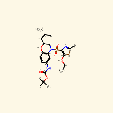 CCc1nc(S(=O)(=O)N2C[C@H](C[C@@H](C)C(=O)O)Oc3ccc(NC(=O)OC(C)(C)C(F)(F)F)cc32)c(OCC(F)(F)F)s1